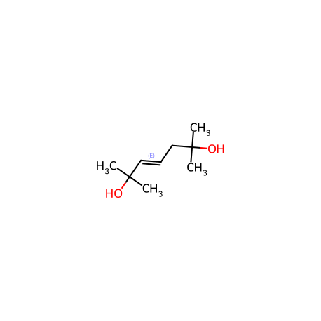 CC(C)(O)/C=C/CC(C)(C)O